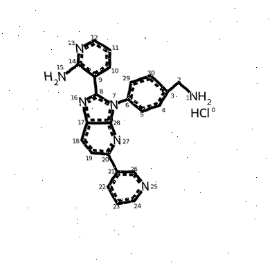 Cl.NCc1ccc(-n2c(-c3cccnc3N)nc3ccc(-c4cccnc4)nc32)cc1